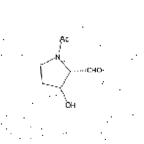 CC(=O)N1CCC(O)[C@H]1[C]=O